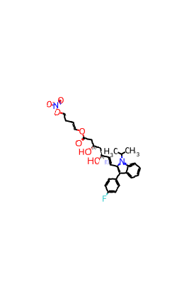 CC(C)n1c(/C=C/[C@H](O)C[C@H](O)CC(=O)OCCCCO[N+](=O)[O-])c(-c2ccc(F)cc2)c2ccccc21